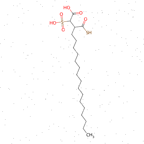 CCCCCCCCCCCCCCCCC(C(=O)S)C(C(=O)O)S(=O)(=O)O